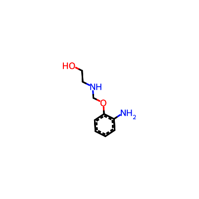 Nc1ccccc1OCNCCO